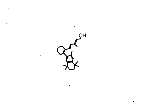 C/C(C=CC1=C(c2cc3c(cc2C)C(C)(C)CCC3(C)C)CCCC1)=C\CO